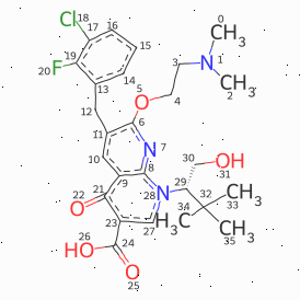 CN(C)CCOc1nc2c(cc1Cc1cccc(Cl)c1F)c(=O)c(C(=O)O)cn2[C@H](CO)C(C)(C)C